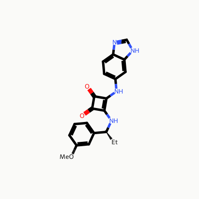 CC[C@H](Nc1c(Nc2ccc3nc[nH]c3c2)c(=O)c1=O)c1cccc(OC)c1